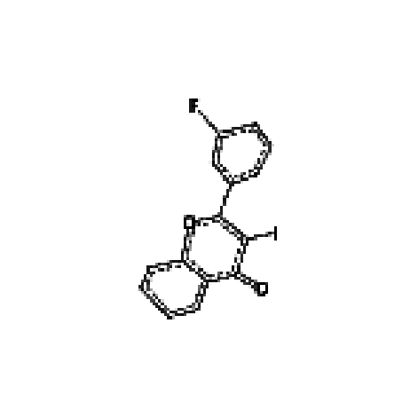 O=c1c(I)c(-c2cccc(F)c2)oc2ccccc12